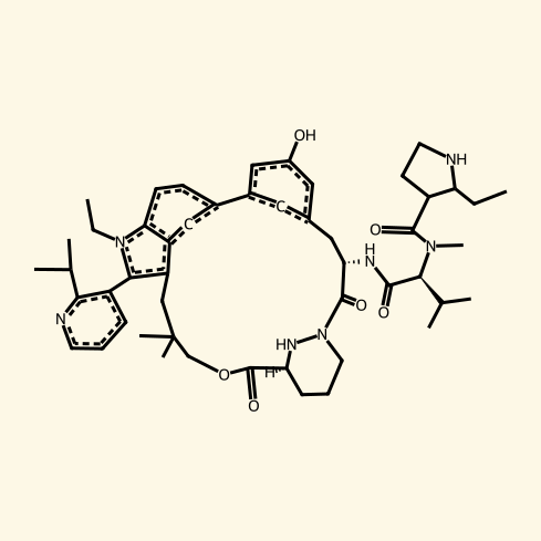 CCC1NCCC1C(=O)N(C)[C@H](C(=O)N[C@H]1Cc2cc(O)cc(c2)-c2ccc3c(c2)c(c(-c2cccnc2C(C)C)n3CC)CC(C)(C)COC(=O)[C@@H]2CCCN(N2)C1=O)C(C)C